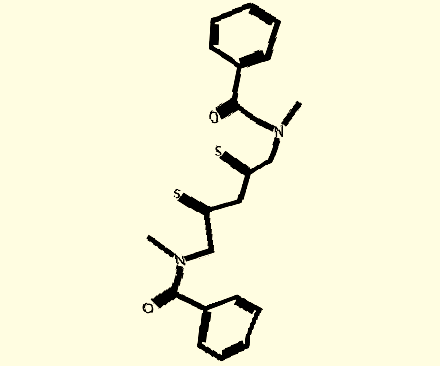 CN(CC(=S)CC(=S)CN(C)C(=O)c1ccccc1)C(=O)c1ccccc1